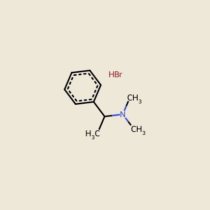 Br.CC(c1ccccc1)N(C)C